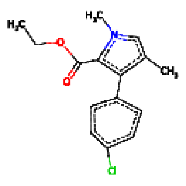 CCOC(=O)c1c(-c2ccc(Cl)cc2)c(C)cn1C